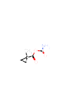 CC1(C(=O)OC(N)=O)CC1